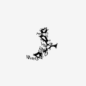 COc1ccc(NC(=O)[C@H](CCC2CC2)NC(=O)c2ccc(Nc3ccncc3)cc2)cn1